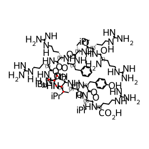 CC[C@H](C)[C@H](NC(=O)[C@H](CCCNC(=N)N)NC(=O)[C@H](CCCNC(=N)N)NC(=O)[C@H](Cc1ccccc1)NC(=O)[C@H](CC(C)C)NC(=O)[C@H](CCCNC(=N)N)NC(=O)[C@@H](N)CCCNC(=N)N)C(=O)N[C@@H](CC(C)C)C(=O)N[C@@H](CCCNC(=N)N)C(=O)N[C@@H](Cc1ccc(O)cc1)C(=O)N[C@@H](CC(C)C)C(=O)N[C@@H](CCCNC(=N)N)C(=O)O